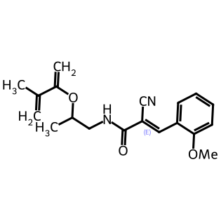 C=C(C)C(=C)OC(C)CNC(=O)/C(C#N)=C/c1ccccc1OC